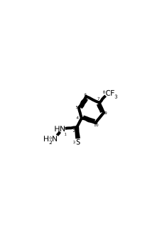 NNC(=S)c1ccc(C(F)(F)F)cc1